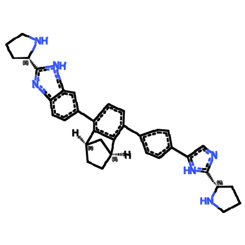 c1cc(-c2ccc(-c3ccc4nc([C@@H]5CCCN5)[nH]c4c3)c3c2[C@H]2CC[C@@H]3C2)ccc1-c1cnc([C@@H]2CCCN2)[nH]1